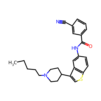 CCCCCN1CCC(c2csc3ccc(NC(=O)c4cccc(C#N)c4)cc23)CC1